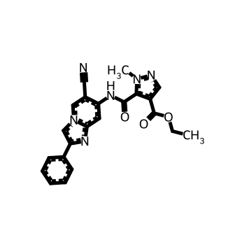 CCOC(=O)c1cnn(C)c1C(=O)Nc1cc2nc(-c3ccccc3)cn2cc1C#N